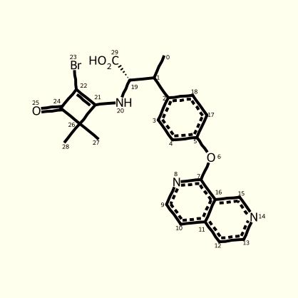 CC(c1ccc(Oc2nccc3ccncc23)cc1)[C@H](NC1=C(Br)C(=O)C1(C)C)C(=O)O